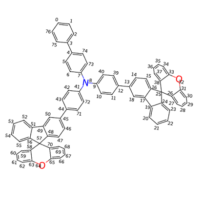 c1ccc(-c2ccc(N(c3ccc(-c4ccc5c(c4)-c4ccccc4C54c5ccccc5Oc5ccccc54)cc3)c3ccc(-c4ccc5c(c4)-c4ccccc4C54c5ccccc5Oc5ccccc54)cc3)cc2)cc1